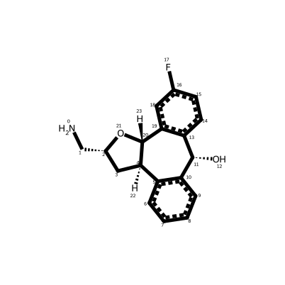 NC[C@H]1C[C@@H]2c3ccccc3[C@@H](O)c3ccc(F)cc3[C@H]2O1